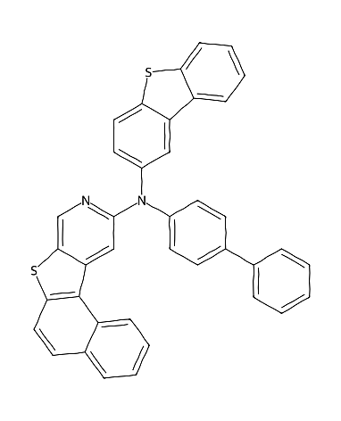 c1ccc(-c2ccc(N(c3ccc4sc5ccccc5c4c3)c3cc4c(cn3)sc3ccc5ccccc5c34)cc2)cc1